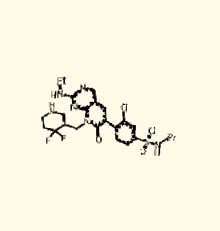 CCNc1ncc2cc(-c3ccc(S(=O)(=O)NC(C)C)cc3Cl)c(=O)n(CC3CNCCC3(F)F)c2n1